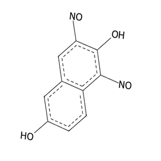 O=Nc1cc2cc(O)ccc2c(N=O)c1O